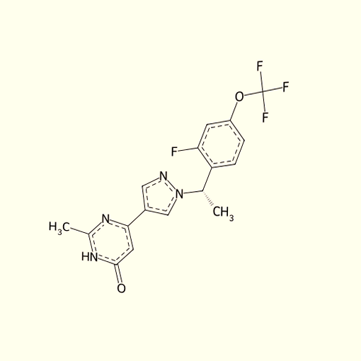 Cc1nc(-c2cnn([C@@H](C)c3ccc(OC(F)(F)F)cc3F)c2)cc(=O)[nH]1